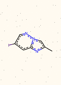 Cc1cn2ncc(I)cc2n1